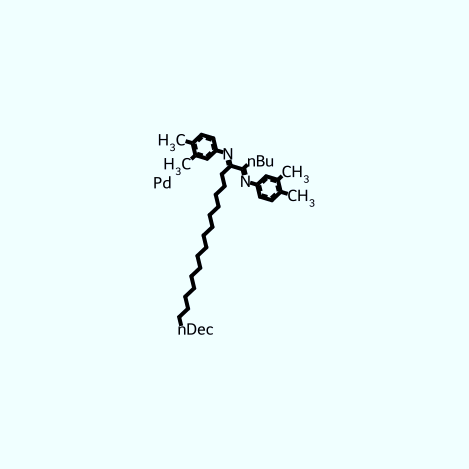 CCCCCCCCCCCCCCCCCCCCCCCCCC(=N\c1ccc(C)c(C)c1)/C(CCCC)=N/c1ccc(C)c(C)c1.[Pd]